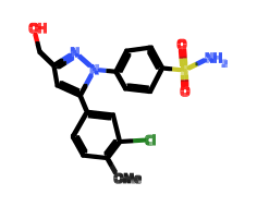 COc1ccc(-c2cc(CO)nn2-c2ccc(S(N)(=O)=O)cc2)cc1Cl